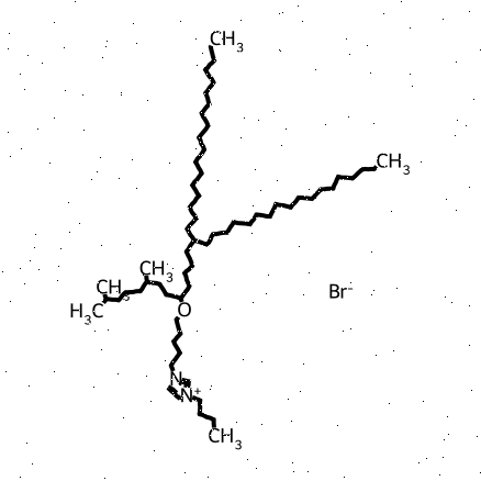 CCCCCCCCCCCCCCCCCCC(CCCCCCCCCCCCCCCCCC)CCCCC(CCC(C)CCCC(C)C)OCCCCCn1cc[n+](CCCC)c1.[Br-]